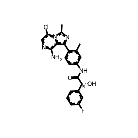 Cc1cc(NC(=O)[C@H](O)c2cccc(F)c2)ccc1-c1nc(C)n2c(Cl)cnc(N)c12